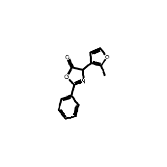 Cc1occc1C1N=C(c2ccccc2)OC1=O